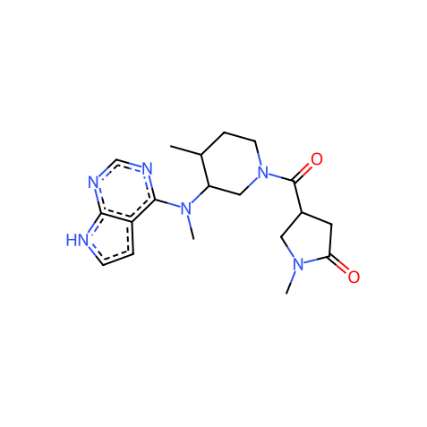 CC1CCN(C(=O)C2CC(=O)N(C)C2)CC1N(C)c1ncnc2[nH]ccc12